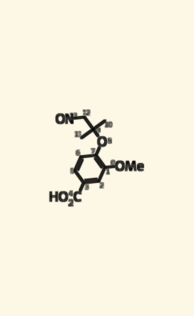 COc1cc(C(=O)O)ccc1OC(C)(C)CN=O